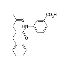 CC(=S)CC(Cc1ccccc1)C(=O)Nc1cccc(C(=O)O)c1